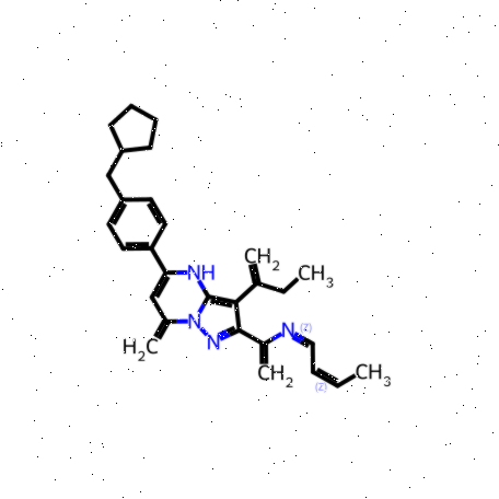 C=C(/N=C\C=C/C)c1nn2c(c1C(=C)CC)NC(c1ccc(CC3CCCC3)cc1)=CC2=C